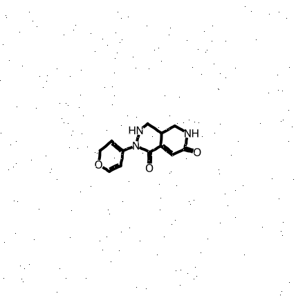 O=C1C=C2C(=O)N(C3=CCOC=C3)NCC2CN1